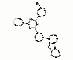 Brc1cccc(-c2nc(-c3ccccc3)nc(-c3cccc(-c4cccc5c4oc4ccccc45)c3)n2)c1